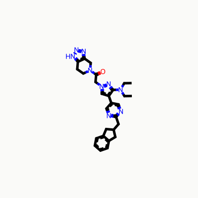 CCN(CC)c1nn(CC(=O)N2CCc3[nH]nnc3C2)cc1-c1cnc(CC2Cc3ccccc3C2)nc1